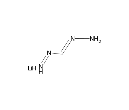 N=NC=NN.[LiH]